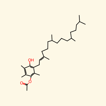 CC(=O)Oc1c(C)c(C)c(O)c(C/C=C(\C)CCCC(C)CCCC(C)CCCC(C)C)c1C